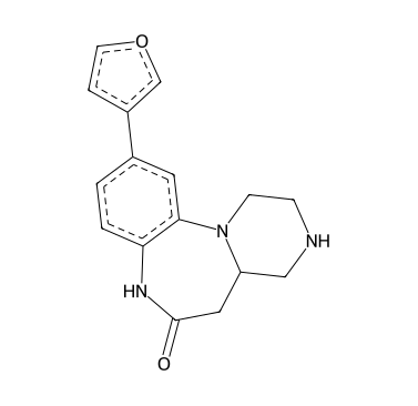 O=C1CC2CNCCN2c2cc(-c3ccoc3)ccc2N1